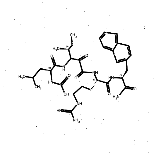 CC[C@H](C)C(NC(=O)[C@H](CC(C)C)NC(=O)O)C(=O)C(=O)N[C@@H](CCCNC(=N)N)C(=O)N[C@@H](Cc1ccc2ccccc2c1)C(N)=O